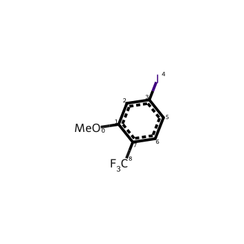 COc1cc(I)ccc1C(F)(F)F